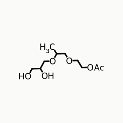 CC(=O)OCCOCC(C)OCC(O)CO